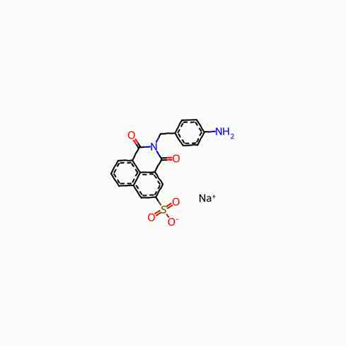 Nc1ccc(CN2C(=O)c3cccc4cc(S(=O)(=O)[O-])cc(c34)C2=O)cc1.[Na+]